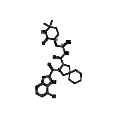 CC1(C)CC[C@@H](C[C@@H](C#N)NC(=O)C2CC3(CCCCC3)CN2C(=O)c2cc3cccc(Cl)c3[nH]2)C(=O)N1